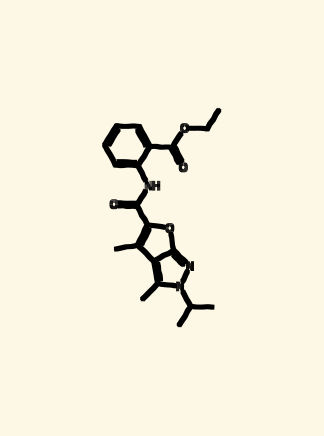 CCOC(=O)c1ccccc1NC(=O)c1oc2nn(C(C)C)c(C)c2c1C